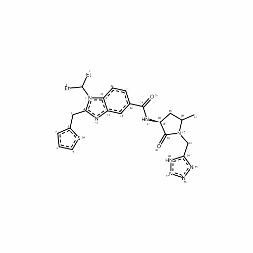 CCC(CC)n1c(Cc2cccs2)nc2cc(C(=O)N[C@H]3CC(C)N(Cc4nnn[nH]4)C3=O)ccc21